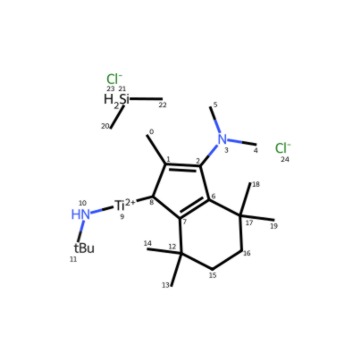 CC1=C(N(C)C)C2=C([CH]1[Ti+2][NH]C(C)(C)C)C(C)(C)CCC2(C)C.C[SiH2]C.[Cl-].[Cl-]